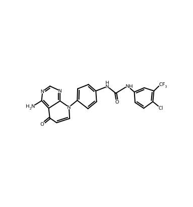 Nc1ncnc2c1c(=O)ccn2-c1ccc(NC(=O)Nc2ccc(Cl)c(C(F)(F)F)c2)cc1